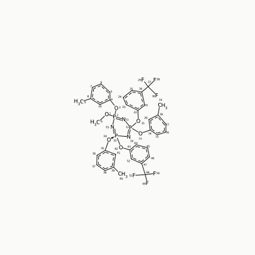 COP1(Oc2cccc(C)c2)=NP(Oc2cccc(C)c2)(Oc2cccc(C(F)(F)F)c2)=N[P@](Oc2cccc(C)c2)(Oc2cccc(C(F)(F)F)c2)=N1